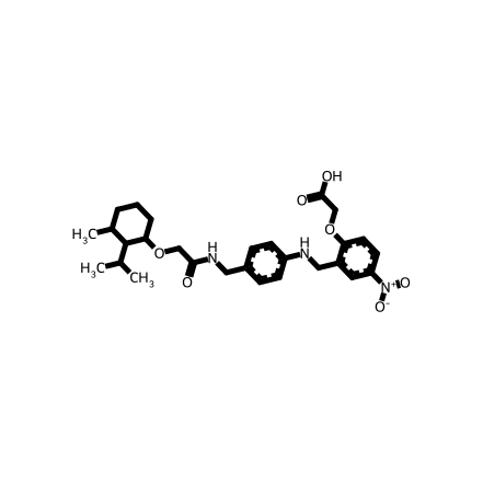 CC(C)C1C(C)CCCC1OCC(=O)NCc1ccc(NCc2cc([N+](=O)[O-])ccc2OCC(=O)O)cc1